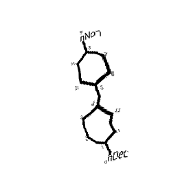 CCCCCCCCCCC1CCC(C2CCC(CCCCCCCCC)CC2)CC1